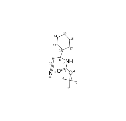 CC(C)(C)OC(=O)NC(CC#N)C1CCCCC1